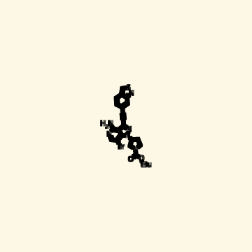 CC(C)(C)OC(=O)N1CCC(n2nc(C#Cc3ccc4csnc4c3)c3c(N)ncc(Br)c32)C1